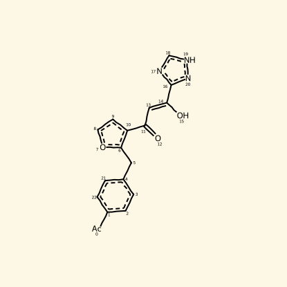 CC(=O)c1ccc(Cc2occc2C(=O)C=C(O)c2nc[nH]n2)cc1